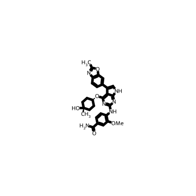 COc1cc(C(N)=O)ccc1Nc1nc(O[C@H]2CC[C@@](C)(O)CC2)c2c(-c3ccc4nc(C)oc4c3)c[nH]c2n1